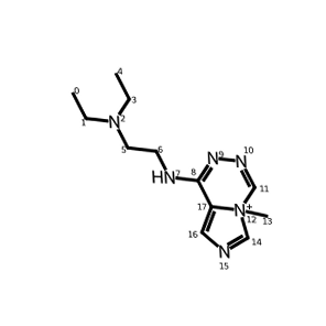 CCN(CC)CCNC1=NN=C[N+]2(C)C=NC=C12